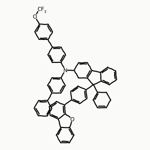 FC(F)(F)Oc1ccc(-c2ccc(N(c3ccc(-c4ccccc4)cc3)C3C=CC4=C(C3)C(C3=CC=CCC3)(c3ccc(-c5cccc6c5oc5ccccc56)cc3)c3ccccc34)cc2)cc1